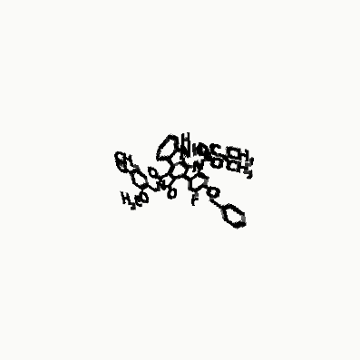 COc1ccc(CN2C(=O)c3c(c4c5cc(F)c(OCc6ccccc6)cc5n(C(=O)OC(C)(C)C)c4c4[nH]c5ccccc5c34)C2=O)c(OC)c1